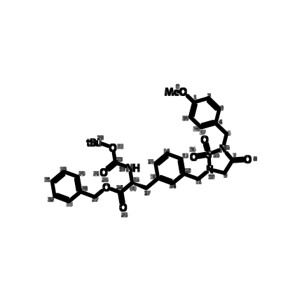 COc1ccc(CN2C(=O)CN(Cc3cccc(C[C@H](NC(=O)OC(C)(C)C)C(=O)OCc4ccccc4)c3)S2(=O)=O)cc1